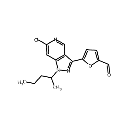 CCCC(C)n1nc(-c2ccc(C=O)o2)c2cnc(Cl)cc21